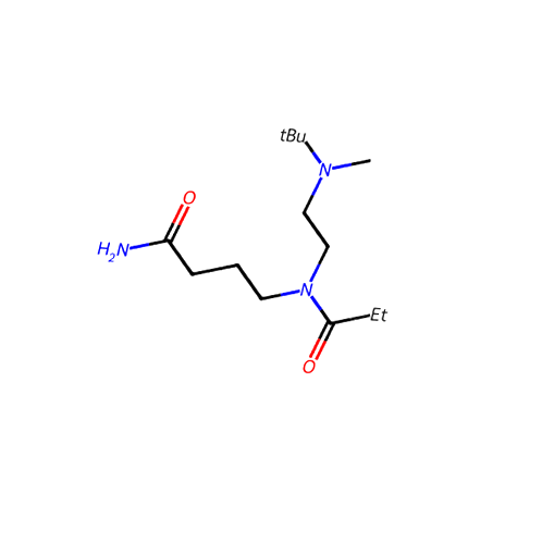 CCC(=O)N(CCCC(N)=O)CCN(C)C(C)(C)C